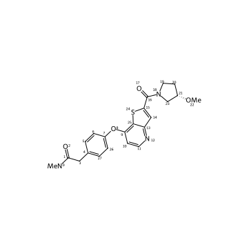 CNC(=O)Cc1ccc(Oc2ccnc3cc(C(=O)N4CC[C@H](OC)C4)sc23)cc1